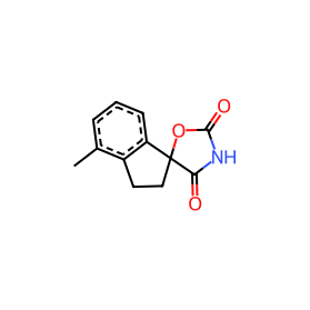 Cc1cccc2c1CCC21OC(=O)NC1=O